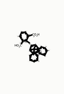 C1=CC2=CC(=C1)C2(c1ccccc1)c1ccccc1.Cc1c(C(=O)O)cccc1C(=O)O